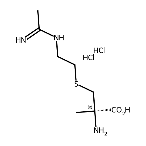 CC(=N)NCCSC[C@](C)(N)C(=O)O.Cl.Cl